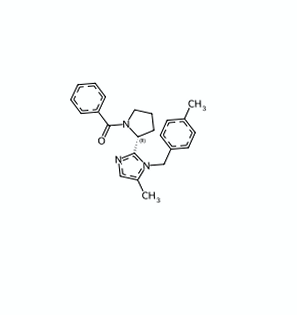 Cc1ccc(Cn2c(C)cnc2[C@H]2CCCN2C(=O)c2ccccc2)cc1